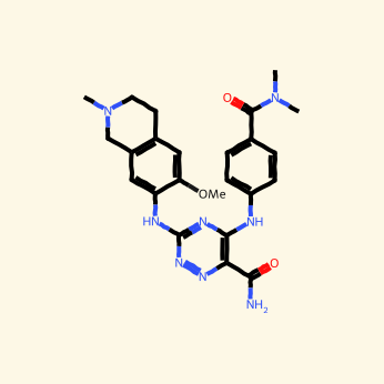 COc1cc2c(cc1Nc1nnc(C(N)=O)c(Nc3ccc(C(=O)N(C)C)cc3)n1)CN(C)CC2